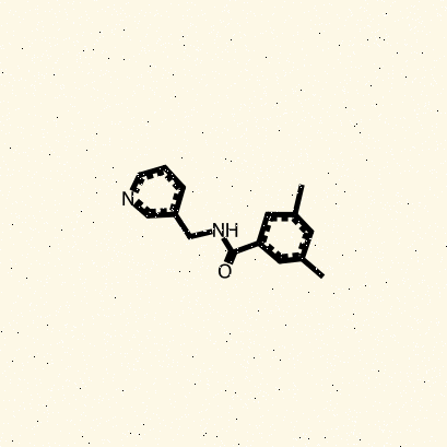 Cc1cc(C)cc(C(=O)NCc2cccnc2)c1